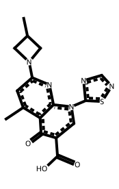 Cc1cc(N2CC(C)C2)nc2c1c(=O)c(C(=O)O)cn2-c1ncns1